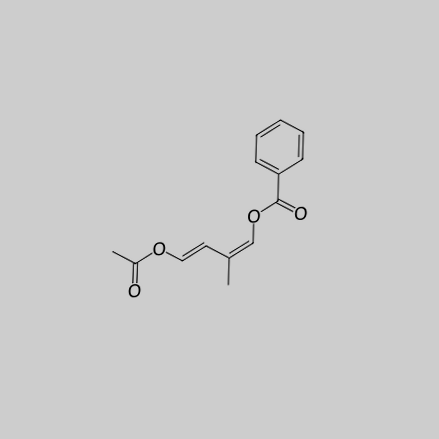 CC(=O)OC=CC(C)=COC(=O)c1ccccc1